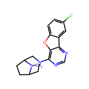 CN1C2CCC1CN(c1ncnc3c1oc1ccc(Cl)cc13)C2